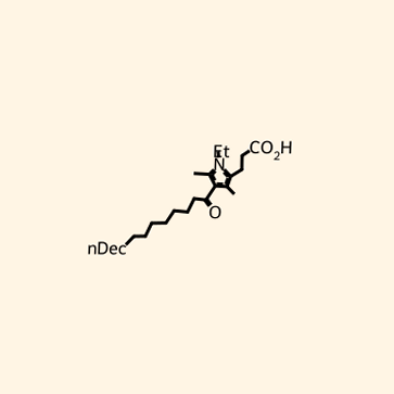 CCCCCCCCCCCCCCCCCC(=O)c1c(C)c(CCC(=O)O)n(CC)c1C